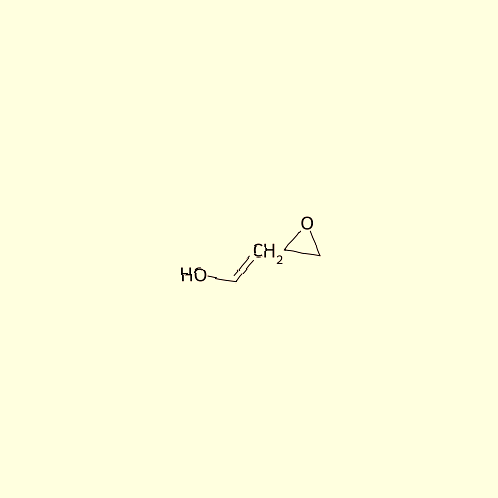 C1CO1.C=CO